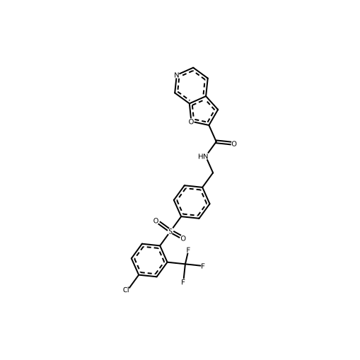 O=C(NCc1ccc(S(=O)(=O)c2ccc(Cl)cc2C(F)(F)F)cc1)c1cc2ccncc2o1